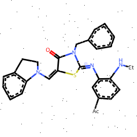 CCNc1ccc(C(C)=O)cc1/N=C1\SC(=CN2CCc3ccccc32)C(=O)N1Cc1ccccc1